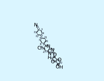 N#Cc1ccc(-c2ccc(-c3nc4nc(O[C@@H]5COC6C5OC[C@H]6O)[nH]c4cc3Cl)cc2)cc1